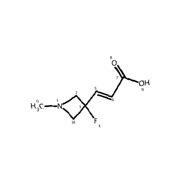 CN1CC(F)(C=CC(=O)O)C1